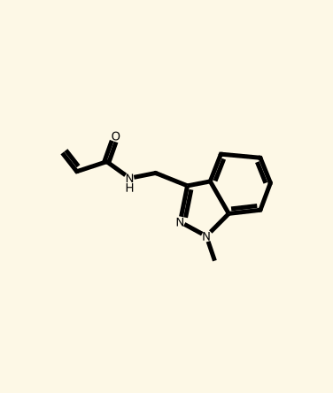 C=CC(=O)NCc1nn(C)c2ccccc12